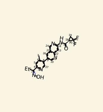 CC/C(=N/O)c1cc(C)c(-c2cnc3cc(NC(=O)[C@H]4CC4(F)F)ncc3c2)cn1